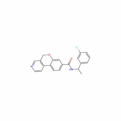 CC(NC(=O)c1ccc2c(c1)OCc1cnccc1-2)c1cccc(F)c1